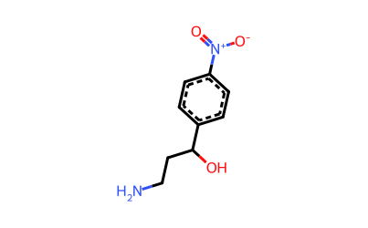 NCCC(O)c1ccc([N+](=O)[O-])cc1